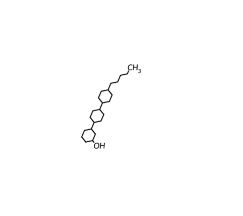 CCCCCC1CCC(C2CCC(C3CCCC(O)C3)CC2)CC1